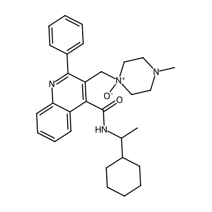 CC(NC(=O)c1c(C[N+]2([O-])CCN(C)CC2)c(-c2ccccc2)nc2ccccc12)C1CCCCC1